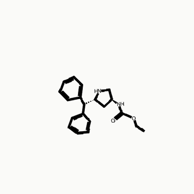 CCOC(=O)N[C@@H]1CN[C@@H](C(c2ccccc2)c2ccccc2)C1